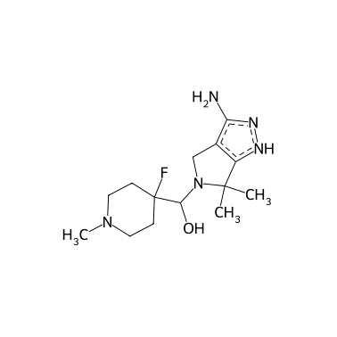 CN1CCC(F)(C(O)N2Cc3c(N)n[nH]c3C2(C)C)CC1